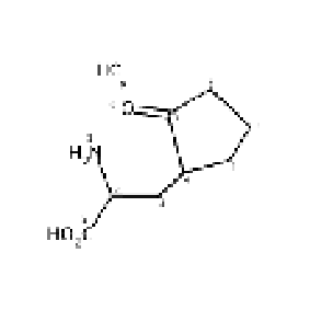 Cl.NC(CC1CCCC1=O)C(=O)O